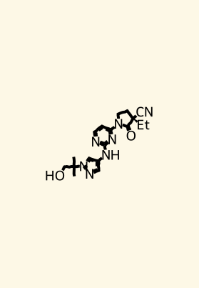 CC[C@]1(C#N)CCN(c2ccnc(Nc3cnn(C(C)(C)CO)c3)n2)C1=O